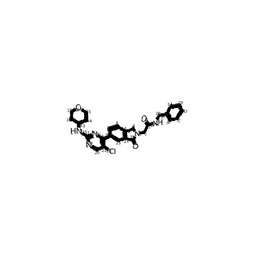 O=C(CN1Cc2ccc(-c3nc(NC4CCOCC4)ncc3Cl)cc2C1=O)NCc1ccccc1